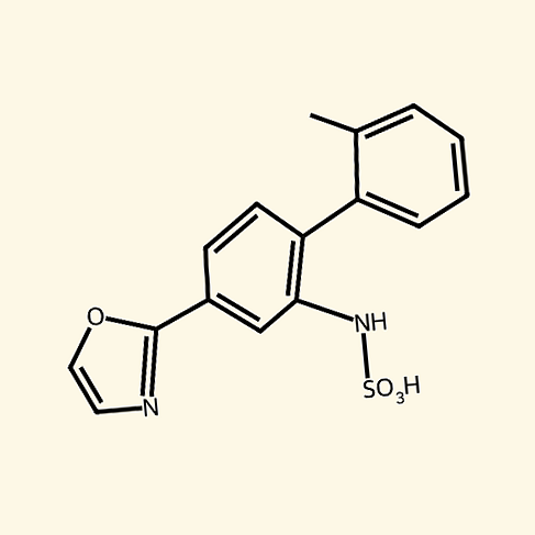 Cc1ccccc1-c1ccc(-c2ncco2)cc1NS(=O)(=O)O